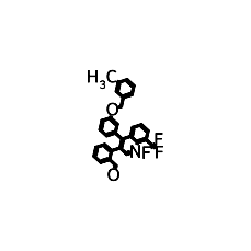 Cc1cccc(COc2cccc(-c3c(-c4ccccc4C=O)cnc4c(C(F)(F)F)cccc34)c2)c1